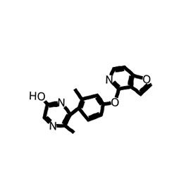 Cc1cc(Oc2nccc3occc23)ccc1-c1nc(O)cnc1C